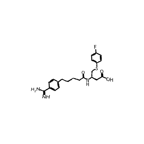 N=C(N)c1ccc(CCCCC(=O)NC(CSc2ccc(F)cc2)CC(=O)O)cc1